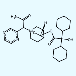 NC(=O)C(c1cnccn1)[N+]12CCC(CC1)[C@@H](OC(=O)C(O)(C1CCCCC1)C1CCCCC1)C2